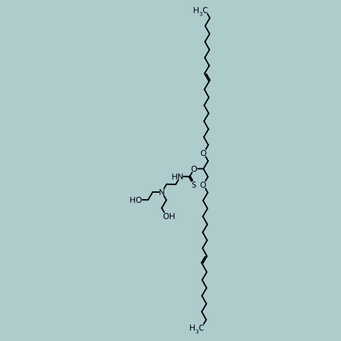 CCCCCCCCC=CCCCCCCCCOCC(COCCCCCCCCC=CCCCCCCCC)OC(=S)NCCN(CCO)CCO